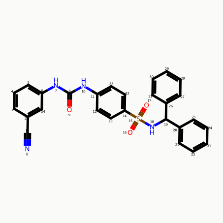 N#Cc1cccc(NC(=O)Nc2ccc(S(=O)(=O)NC(c3ccccc3)c3ccccc3)cc2)c1